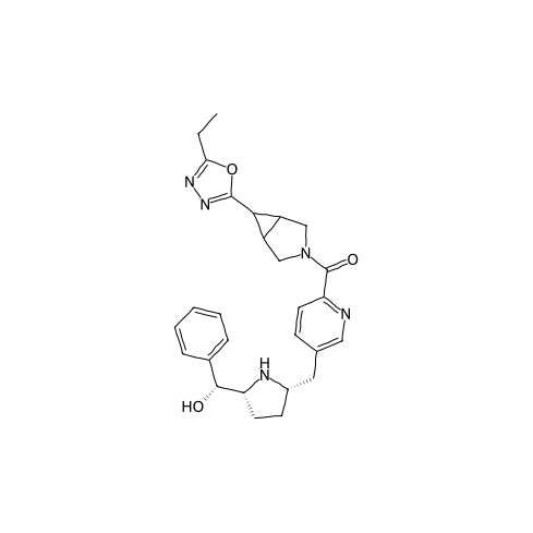 CCc1nnc(C2C3CN(C(=O)c4ccc(C[C@@H]5CC[C@H]([C@H](O)c6ccccc6)N5)cn4)CC32)o1